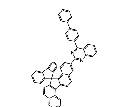 c1ccc(-c2ccc(-c3nc(-c4ccc5c6c(ccc5c4)-c4c(ccc5ccccc45)C64c5ccccc5-c5ccccc54)nc4ccccc34)cc2)cc1